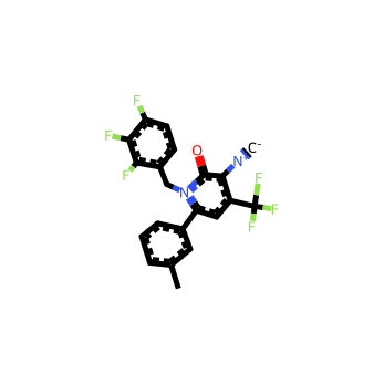 [C-]#[N+]c1c(C(F)(F)F)cc(-c2cccc(C)c2)n(Cc2ccc(F)c(F)c2F)c1=O